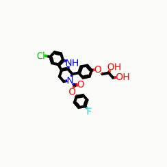 O=C(Oc1ccc(F)cc1)N1CCc2c([nH]c3ccc(Cl)cc23)C1c1ccc(OCC(O)CO)cc1